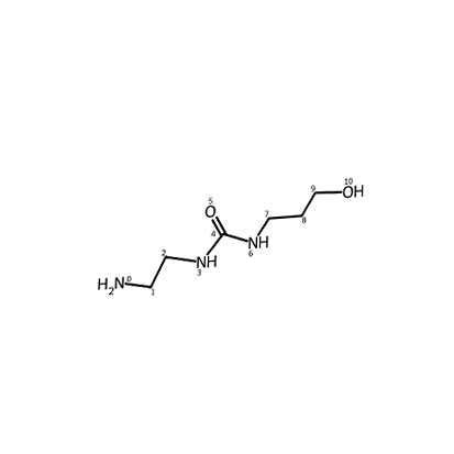 NCCNC(=O)NCCCO